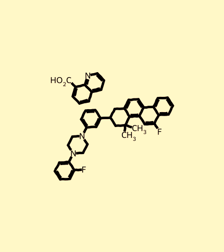 CC1(C)CC(c2cccc(N3CCN(c4ccccc4F)CC3)c2)Cc2ccc3c(cc(F)c4ccccc43)c21.O=C(O)c1cccc2cccnc12